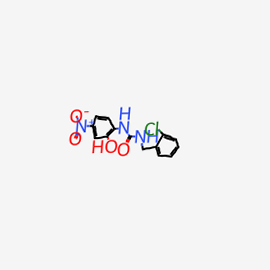 O=C(NCc1ccccc1Cl)Nc1ccc([N+](=O)[O-])cc1O